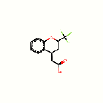 O=C(O)CC1CC(C(F)(F)F)Oc2ccccc21